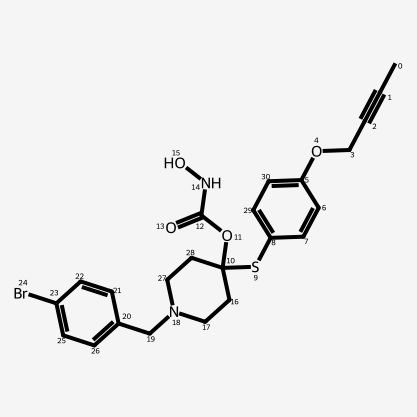 CC#CCOc1ccc(SC2(OC(=O)NO)CCN(Cc3ccc(Br)cc3)CC2)cc1